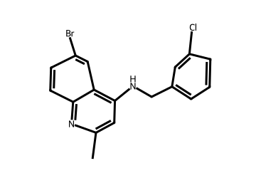 Cc1cc(NCc2cccc(Cl)c2)c2cc(Br)ccc2n1